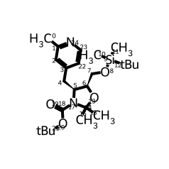 Cc1cc(C[C@H]2[C@@H](CO[Si](C)(C)C(C)(C)C)OC(C)(C)N2C(=O)OC(C)(C)C)ccn1